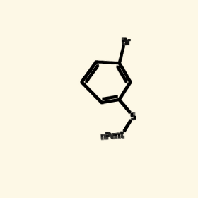 CCCCCSc1cccc(Br)c1